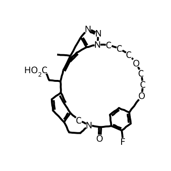 Cc1c2ccc3c1nnn3CCCOCCOc1ccc(c(F)c1)C(=O)N1CCc3ccc(cc3C1)C2CC(=O)O